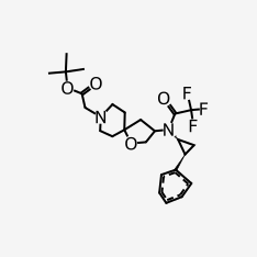 CC(C)(C)OC(=O)CN1CCC2(CC1)CC(N(C(=O)C(F)(F)F)[C@@H]1C[C@H]1c1ccccc1)CO2